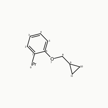 CC(C)c1ccccc1OCC1CC1